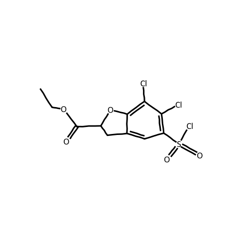 CCOC(=O)C1Cc2cc(S(=O)(=O)Cl)c(Cl)c(Cl)c2O1